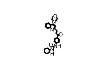 O=C(Nc1ccc(C(=O)C=Cc2cc(N3CCOCC3)c3ccccc3n2)cc1)NC1CCCCC1